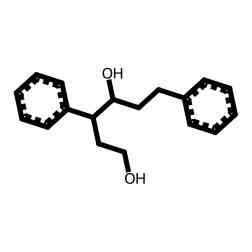 OCCC(c1ccccc1)C(O)CCc1ccccc1